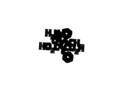 CC(C(=O)O)C1c2ccccc2N(N)C(=O)C1C(CCc1ccccc1)C(=O)O